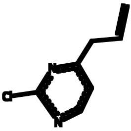 C=CCc1ccnc(Cl)n1